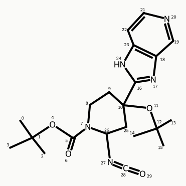 CC(C)(C)OC(=O)N1CCC(OC(C)(C)C)(c2nc3cnccc3[nH]2)CC1N=C=O